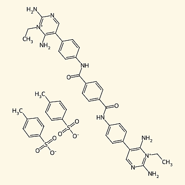 CC[n+]1c(N)ncc(-c2ccc(NC(=O)c3ccc(C(=O)Nc4ccc(-c5cnc(N)[n+](CC)c5N)cc4)cc3)cc2)c1N.Cc1ccc(S(=O)(=O)[O-])cc1.Cc1ccc(S(=O)(=O)[O-])cc1